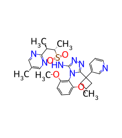 COc1cccc(OC)c1-n1c(NS(=O)(=O)[C@@H](C)[C@H](C)c2ncc(C)cn2)nnc1C1(c2cccnc2)CCC1